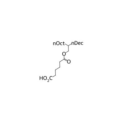 CCCCCCCCCCC(CCCCCCCC)COC(=O)CCCCC(=O)O